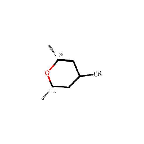 C[C@@H]1CC(C#N)C[C@H](C)O1